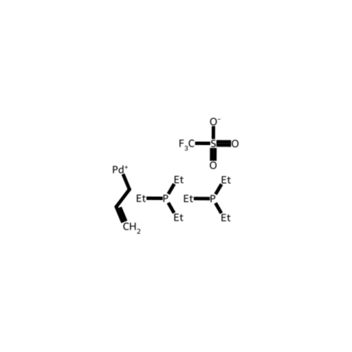 C=C[CH2][Pd+].CCP(CC)CC.CCP(CC)CC.O=S(=O)([O-])C(F)(F)F